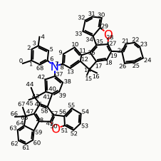 Cc1cc(C)cc(N(c2ccc3c(c2)C(C)(C)c2cc(C4=CC=CC=C=C4)c4oc5ccccc5c4c2-3)c2ccc3c(c2)C(C)(C)c2c4c(c5oc6ccccc6c5c2-3)-c2ccccc2C4(C)C)c1